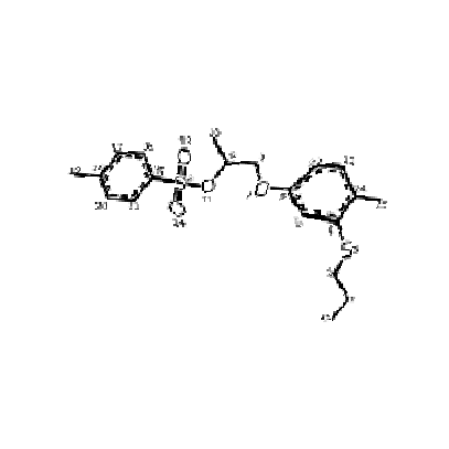 CCCSc1cc(OCC(C)OS(=O)(=O)c2ccc(C)cc2)ccc1C